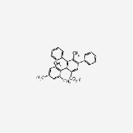 Cc1cc(C)c(-c2c(C(=O)O)cc(-c3ccccc3)c(C(F)(F)F)c2-c2ccccc2)c(C)c1